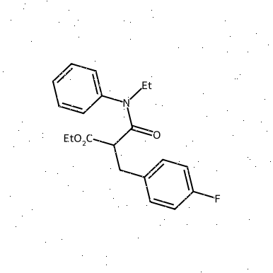 CCOC(=O)C(Cc1ccc(F)cc1)C(=O)N(CC)c1ccccc1